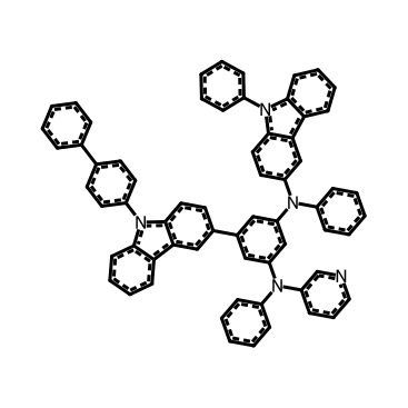 c1ccc(-c2ccc(-n3c4ccccc4c4cc(-c5cc(N(c6ccccc6)c6cccnc6)cc(N(c6ccccc6)c6ccc7c(c6)c6ccccc6n7-c6ccccc6)c5)ccc43)cc2)cc1